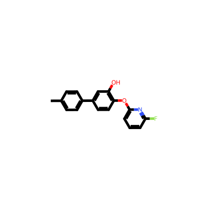 Cc1ccc(-c2ccc(Oc3cccc(F)n3)c(O)c2)cc1